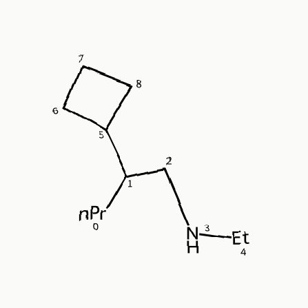 CCCC(CNCC)C1CCC1